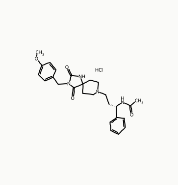 COc1ccc(CN2C(=O)NC3(CCN(CC[C@H](NC(C)=O)c4ccccc4)CC3)C2=O)cc1.Cl